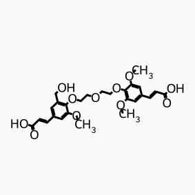 COc1cc(/C=C/C(=O)O)cc(CO)c1OCCOCCOc1c(OC)cc(/C=C/C(=O)O)cc1OC